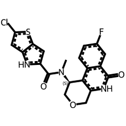 CN(C(=O)c1cc2sc(Cl)cc2[nH]1)[C@@H]1COCc2[nH]c(=O)c3cc(F)ccc3c21